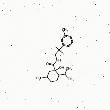 Cc1cccc(C(F)(F)CNC(=O)C2(O)CC(C)CCC2C(C)C)c1